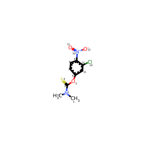 CN(C)C(=S)Oc1ccc([N+](=O)[O-])c(Cl)c1